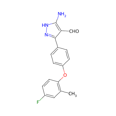 Cc1cc(F)ccc1Oc1ccc(-c2n[nH]c(N)c2C=O)cc1